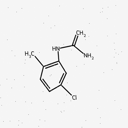 C=C(N)Nc1cc(Cl)ccc1C